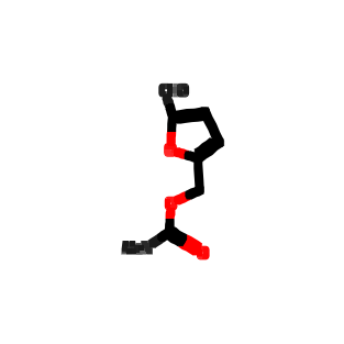 CNC(=O)OCc1ccc(C=O)o1